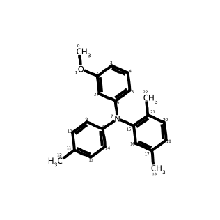 COc1cccc(N(c2ccc(C)cc2)c2cc(C)ccc2C)c1